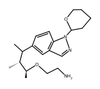 CC(c1ccc2c(cnn2C2CCCCO2)c1)[C@@H](C)[C@H](C)OCCN